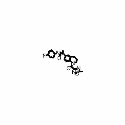 Cc1nc(C(=O)N2CCCc3cc(C(C)C(=O)Nc4ccc(F)cc4)ccc32)no1